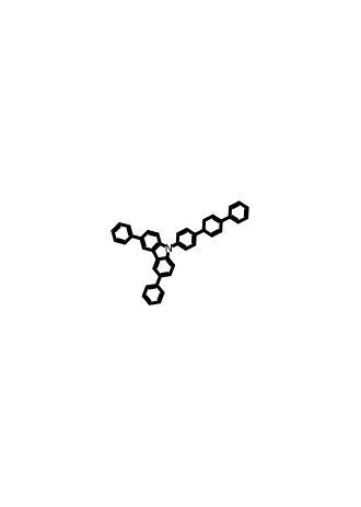 C1=CC(c2ccc(-n3c4ccc(-c5ccccc5)cc4c4cc(-c5ccccc5)ccc43)cc2)CC=C1c1ccccc1